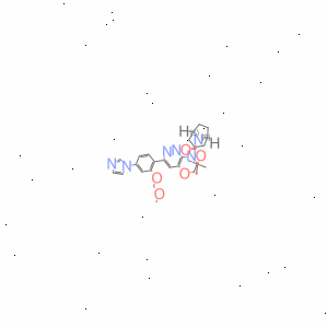 COCOc1cc(-n2ccnc2)ccc1-c1cc2c(nn1)N(C1C[C@H]3CC[C@@H](C1)N3C(=O)OC(C)(C)C)CCO2